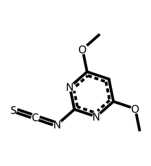 COc1cc(OC)nc(N=C=S)n1